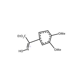 CCOC(=O)/C(=N\O)c1ccc(OC)c(OC)c1